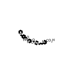 O=C(O)c1ccc(CCCN2CCN(C(=O)Oc3ccc(NC(=O)c4ccc(CN5CCCCC5)cc4)nc3)CC2)nc1